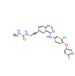 CCC(C)NC(=O)NCC#Cc1ccc2ncnc(Nc3ccc(Oc4ccc(C)nc4)c(Cl)c3)c2c1